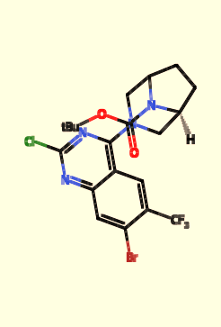 CC(C)(C)OC(=O)N1C2CC[C@H]1CN(c1nc(Cl)nc3cc(Br)c(C(F)(F)F)cc13)C2